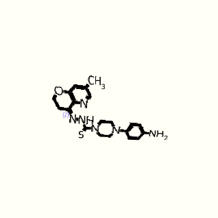 Cc1cnc2c(c1)OCC/C2=N/NC(=S)N1CCN(c2ccc(N)cc2)CC1